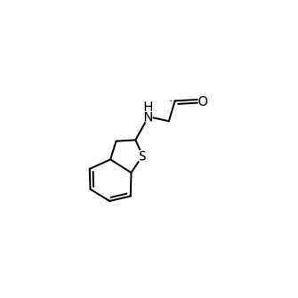 O=[C]CNC1CC2C=CC=CC2S1